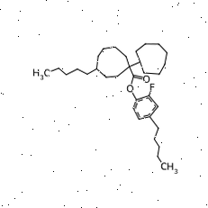 CCCCCc1ccc(OC(=O)C2(C3CCCCCCC3)CCCCC(CCCCC)CC2)c(F)c1